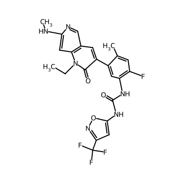 CCn1c(=O)c(-c2cc(NC(=O)Nc3cc(C(F)(F)F)no3)c(F)cc2C)cc2cnc(NC)cc21